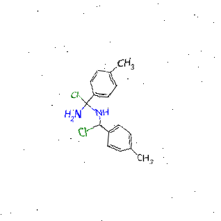 Cc1ccc(C(Cl)NC(N)(Cl)c2ccc(C)cc2)cc1